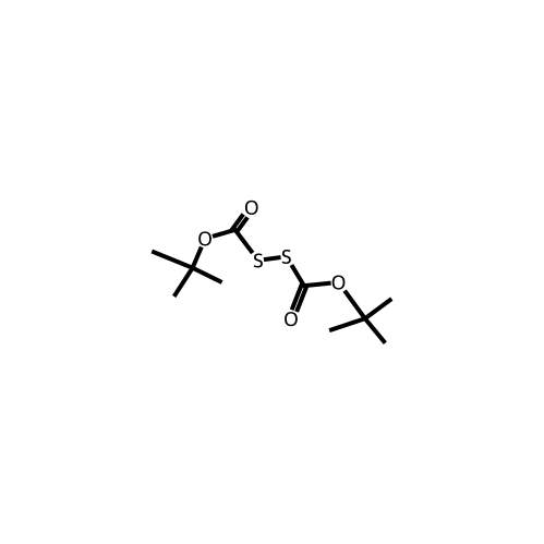 CC(C)(C)OC(=O)SSC(=O)OC(C)(C)C